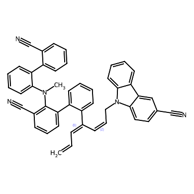 C=C/C=C(\C=C/Cn1c2ccccc2c2cc(C#N)ccc21)c1ccccc1-c1cccc(C#N)c1N(C)c1ccccc1-c1ccccc1C#N